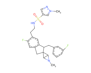 CN1C2C1C21Cc2cc(F)c(CCNS(=O)(=O)c3cnn(C)c3)cc2C1Cc1cccc(F)c1